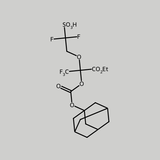 CCOC(=O)C(OCC(F)(F)S(=O)(=O)O)(OC(=O)OC12CC3CC(CC(C3)C1)C2)C(F)(F)F